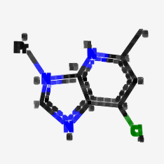 Cc1cc(Cl)c2ncn(C(C)C)c2n1